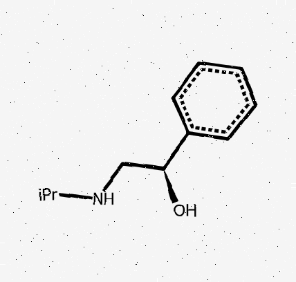 CC(C)NC[C@H](O)c1ccccc1